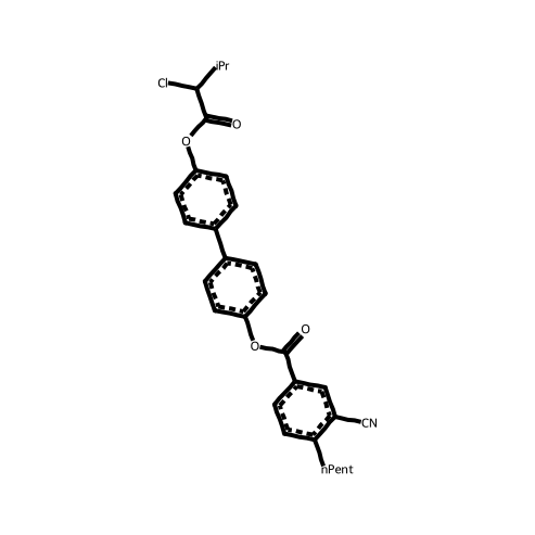 CCCCCc1ccc(C(=O)Oc2ccc(-c3ccc(OC(=O)C(Cl)C(C)C)cc3)cc2)cc1C#N